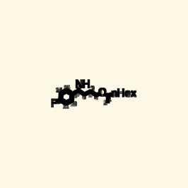 CCCCCCC(C)OCCCC(N)c1ccc(F)cc1